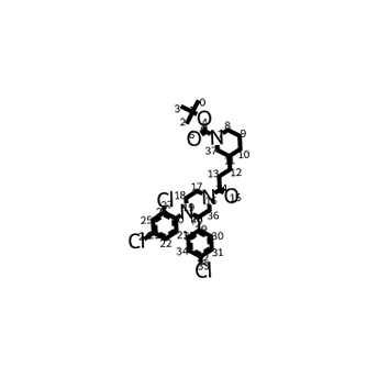 CC(C)(C)OC(=O)N1CCCC(CCC(=O)N2CCN(c3ccc(Cl)cc3Cl)[C@H](c3ccc(Cl)cc3)C2)C1